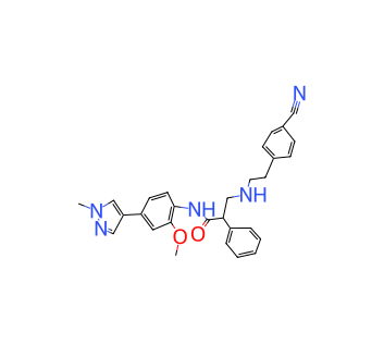 COc1cc(-c2cnn(C)c2)ccc1NC(=O)C(CNCCc1ccc(C#N)cc1)c1ccccc1